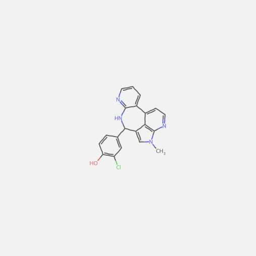 Cn1cc2c3c(ccnc31)-c1cccnc1NC2c1ccc(O)c(Cl)c1